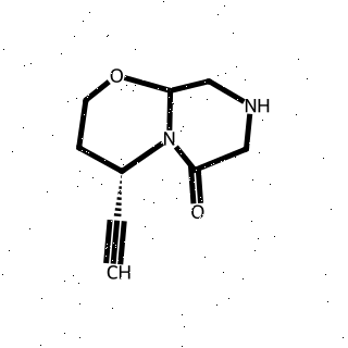 C#C[C@@H]1CCOC2CNCC(=O)N21